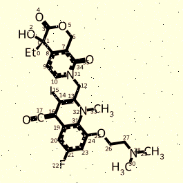 CC[C@@]1(O)C(=O)OCc2c1ccn(CC1=C(I)C(=C=O)c3cc(F)cc(OCCN(C)C)c3N1C)c2=O